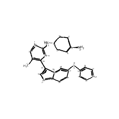 Cc1cnc(N[C@H]2CC[C@H](N)CC2)nc1-c1cnc2ccc(Nc3ccncc3)cn12